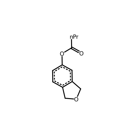 CCCC(=O)Oc1ccc2c(c1)COC2